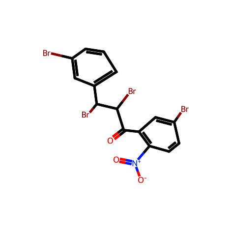 O=C(c1cc(Br)ccc1[N+](=O)[O-])C(Br)C(Br)c1cccc(Br)c1